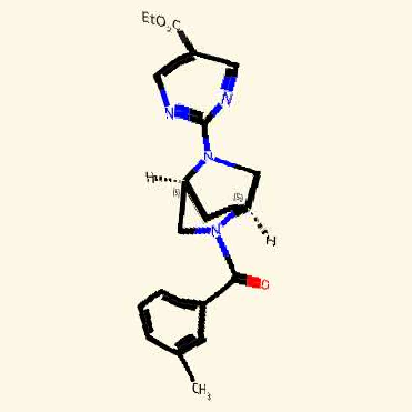 CCOC(=O)c1cnc(N2C[C@@H]3C[C@H]2CN3C(=O)c2cccc(C)c2)nc1